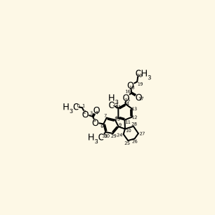 CCOC(=O)Oc1ccc(C2(c3ccc(OC(=O)OCC)c(C)c3)CCCCC2)cc1C